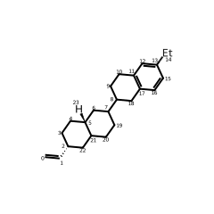 C=C[C@@H]1CC[C@@H]2CC(C3CCc4cc(CC)ccc4C3)CCC2C1